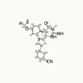 CN1C(=N)N/C(=C2\CC(c3cccc(C#N)c3)=CS2)[C@@H](c2ccc(OC(F)F)cc2)C1=O